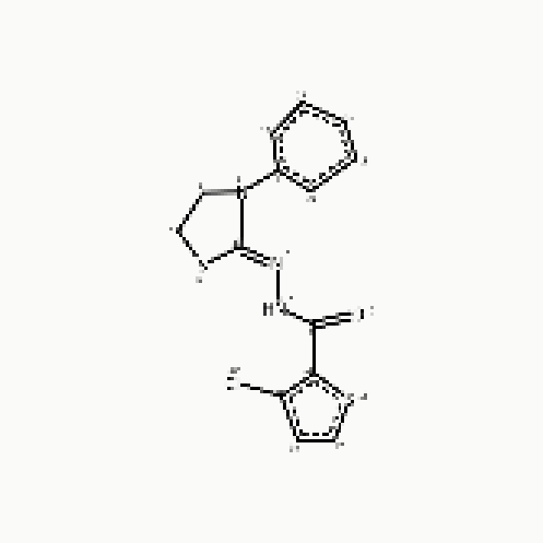 O=C(NN=C1SCCN1c1ccccc1)c1sccc1Cl